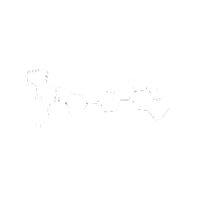 Cc1ccccc1C1SC(CC(=O)N2CCC(N3Cc4ccccc4NC3=O)CC2)C(=O)N1CCC(C)C